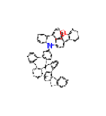 c1ccc(-c2ccccc2N(c2ccc3c(c2)-c2ccccc2-c2ccccc2C32c3ccccc3-c3c2ccc2c3-c3ccccc3C2)c2ccc3c(c2)oc2ccccc23)cc1